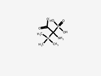 C[N+](C)(C)C(N)(C(=O)[O-])P(=O)(O)O